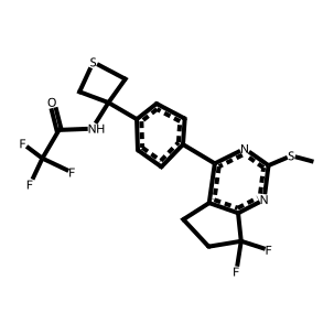 CSc1nc(-c2ccc(C3(NC(=O)C(F)(F)F)CSC3)cc2)c2c(n1)C(F)(F)CC2